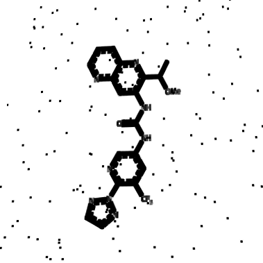 COC(C)c1nc2cccnc2cc1NC(=O)Nc1cnc(-n2nccn2)c(C(F)(F)F)c1